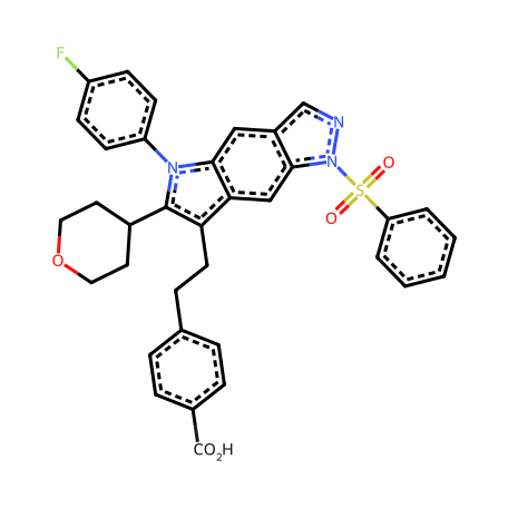 O=C(O)c1ccc(CCc2c(C3CCOCC3)n(-c3ccc(F)cc3)c3cc4cnn(S(=O)(=O)c5ccccc5)c4cc23)cc1